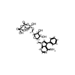 Nc1ncnc2c1c(-c1ccccc1)cn2C[C@@H]1O[C@H](COP(=O)(O)OP(=O)(O)OP(=O)(O)O)C(O)[C@@H]1O